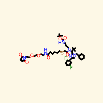 CC(C)(C)OC(=O)NCCCN(C(=O)CSCCCCCC(=O)NCCOCCOCCN1C(=O)C=CC1=O)[C@@H](c1nc(-c2cc(F)ccc2F)cn1Cc1ccccc1)C(C)(C)C